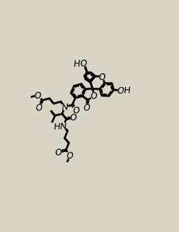 COC(=O)CCCNC(=O)C(C(C)C)N(CCCC(=O)OC)C(=O)c1cccc2c1C(=O)OC21c2ccc(O)cc2Oc2cc(O)ccc21